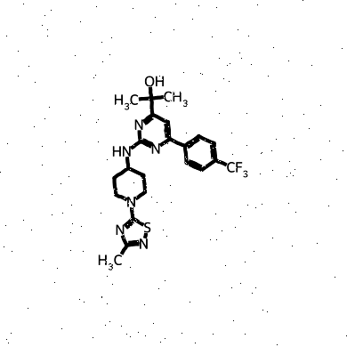 Cc1nsc(N2CCC(Nc3nc(-c4ccc(C(F)(F)F)cc4)cc(C(C)(C)O)n3)CC2)n1